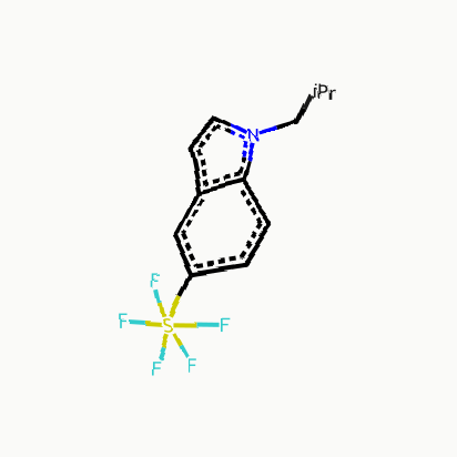 CC(C)Cn1ccc2cc(S(F)(F)(F)(F)F)ccc21